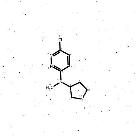 CN(c1ccc(Cl)nn1)C1CCNC1